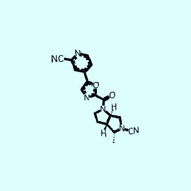 C[C@@H]1[C@@H]2CCN(C(=O)c3ncc(-c4ccnc(C#N)c4)o3)[C@H]2CN1C#N